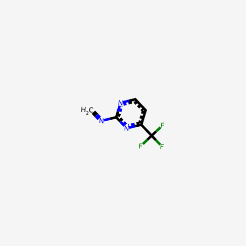 C=Nc1nccc(C(F)(F)F)n1